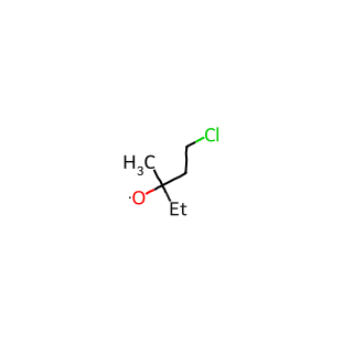 CCC(C)([O])CCCl